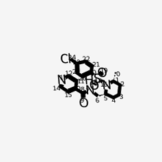 C[C@@H]1CCC[C@H](CNC(=O)c2ccncc2)N1S(=O)(=O)c1ccc(Cl)cc1